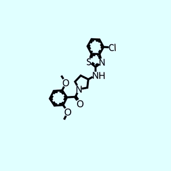 COc1cccc(OC)c1C(=O)N1CCC(Nc2nc3c(Cl)cccc3s2)C1